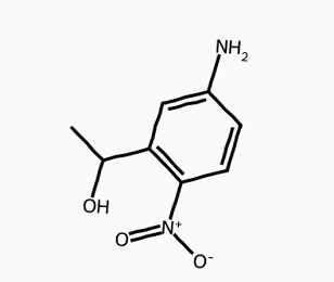 CC(O)c1cc(N)ccc1[N+](=O)[O-]